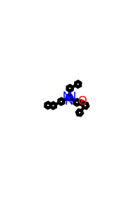 c1ccc(-c2cccc(-c3nc(-c4ccc(-c5ccc6ccccc6c5)cc4)nc(-c4ccc5c(c4)oc4cccc(-c6ccccc6)c45)n3)c2)cc1